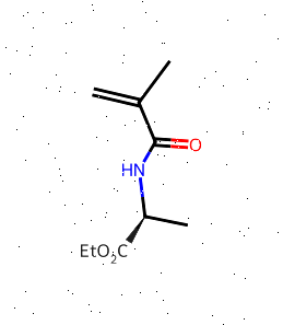 C=C(C)C(=O)N[C@@H](C)C(=O)OCC